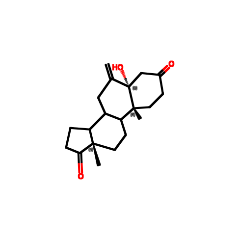 C=C1CC2C3CCC(=O)[C@@]3(C)CCC2[C@@]2(C)CCC(=O)C[C@]12O